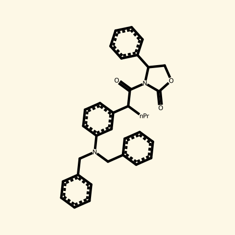 CCCC(C(=O)N1C(=O)OCC1c1ccccc1)c1cccc(N(Cc2ccccc2)Cc2ccccc2)c1